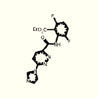 CCOC(=O)c1c(F)ccc(F)c1NC(=O)c1ccc(-n2ccnc2)nn1